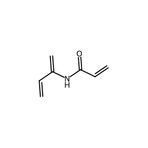 C=CC(=C)NC(=O)C=C